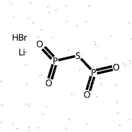 Br.O=P(=O)SP(=O)=O.[Li]